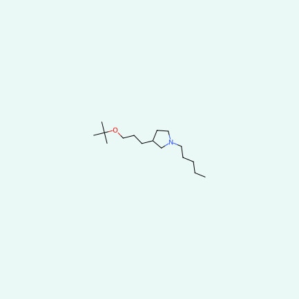 CCCCCN1CCC(CCCOC(C)(C)C)C1